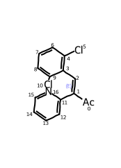 CC(=O)/C(=C/c1c(Cl)cccc1Cl)c1ccccn1